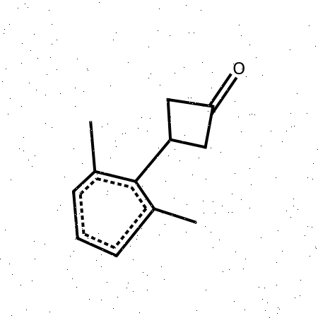 Cc1cccc(C)c1C1CC(=O)C1